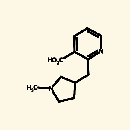 CN1CCC(Cc2ncccc2C(=O)O)C1